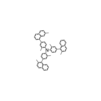 Cc1ccc2cccc(-c3ccc(N(c4ccc(-c5c(C)ccc6ccccc56)cc4C)c4ccc(-c5c(C)ccc6ccccc56)cc4C)c(C)c3)c2c1